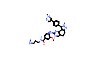 COc1cc(C(=O)NCCCN(C)C)ccc1Nc1ncc2c(n1)-c1c(nn(C)c1-c1ccc(-c3cnn(C)c3)cc1)CC2